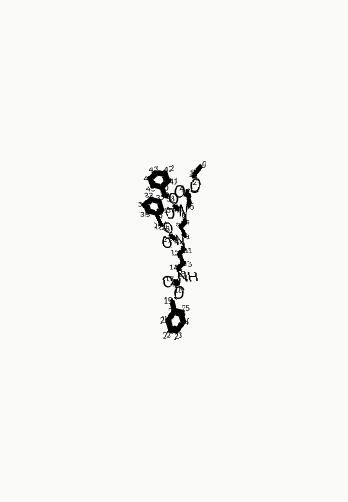 CCOC(=O)CN(CCCN(CCCCNC(=O)OCc1ccccc1)C(=O)OCc1ccccc1)C(=O)OCc1ccccc1